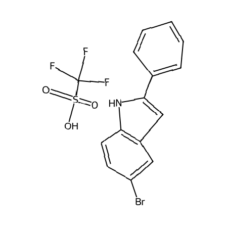 Brc1ccc2[nH]c(-c3ccccc3)cc2c1.O=S(=O)(O)C(F)(F)F